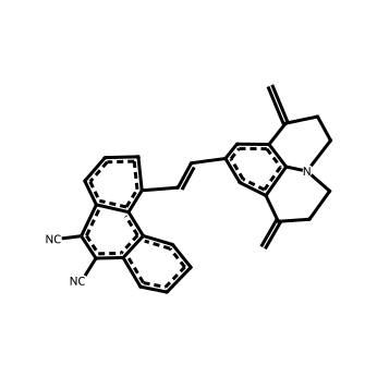 C=C1CCN2CCC(=C)c3cc(C=Cc4cccc5c(C#N)c(C#N)c6ccccc6c45)cc1c32